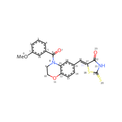 COc1cccc(C(=O)N2CCOc3ccc(/C=C4\SC(=S)NC4=O)cc32)c1